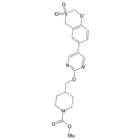 CC(C)(C)OC(=O)N1CCC(COc2ncc(-c3ccc4c(c3)CS(=O)(=O)CO4)cn2)CC1